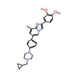 COc1ccc(-c2cn3cc(-c4ccc(N5CCN(CC6CC6)CC5)cc4)cc(C)c3n2)cc1OC